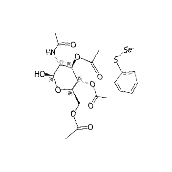 CC(=O)N[C@@H]1[C@@H](OC(C)=O)[C@H](OC(C)=O)[C@@H](COC(C)=O)O[C@H]1O.[Se]Sc1ccccc1